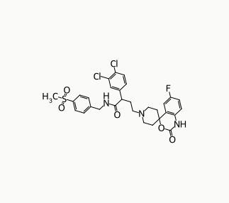 CS(=O)(=O)c1ccc(CNC(=O)C(CCN2CCC3(CC2)OC(=O)Nc2ccc(F)cc23)c2ccc(Cl)c(Cl)c2)cc1